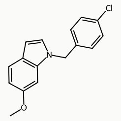 COc1ccc2ccn(Cc3ccc(Cl)cc3)c2c1